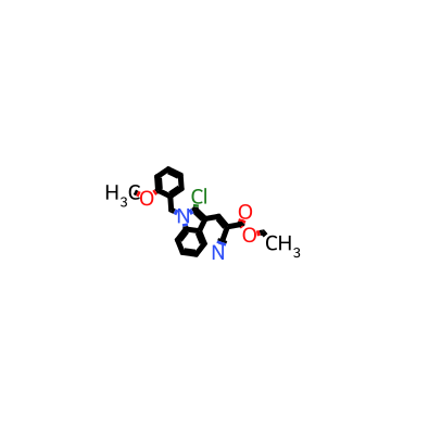 CCOC(=O)C(C#N)=Cc1c(Cl)n(Cc2ccccc2OC)c2ccccc12